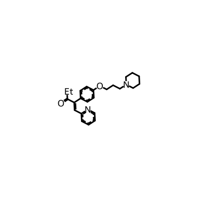 CCC(=O)C(=Cc1ccccn1)c1ccc(OCCCN2CCCCC2)cc1